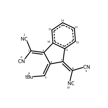 [C-]#[N+]/C(C#N)=C1\C(=CC(C)(C)C)/C(=C(/C#N)[N+]#[C-])c2ccccc21